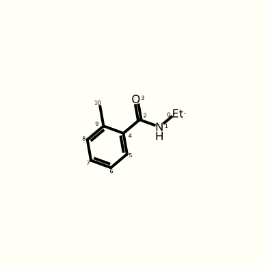 C[CH]NC(=O)c1ccccc1C